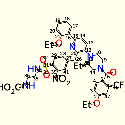 CCOc1ccc(C(=O)N2CCN(c3ccc(-c4ccccc4OCC)nc3Cc3ccc(S(=O)(=O)NCCNC(=O)O)c([N+](=O)[O-])c3)[C@H](CC)C2)c(C(F)(F)F)c1